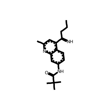 CCCC(=N)c1cc(C)nc2cc(NC(=O)C(C)(C)C)ccc12